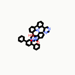 O=C1c2cccc(-n3c4c(-c5cncnc5)cccc4c4cccc(-c5cncnc5)c43)c2C(O)N1c1cc(-c2ccccc2)ccc1-c1ccccc1